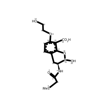 CSCC(=O)N[C@H]1Cc2ccc(OCCO)c(C(=O)O)c2OB1O